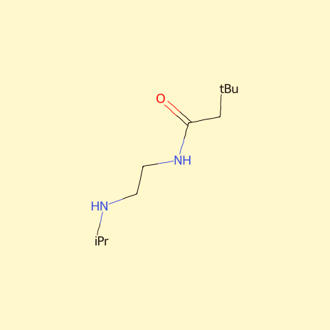 CC(C)NCCNC(=O)CC(C)(C)C